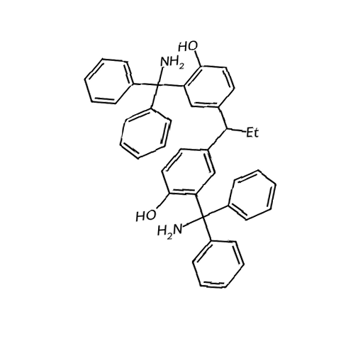 CCC(c1ccc(O)c(C(N)(c2ccccc2)c2ccccc2)c1)c1ccc(O)c(C(N)(c2ccccc2)c2ccccc2)c1